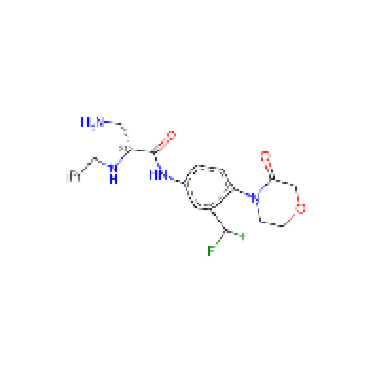 CC(C)CN[C@H](CN)C(=O)Nc1ccc(N2CCOCC2=O)c(C(F)F)c1